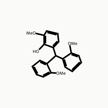 COc1ccccc1C(c1ccccc1OC)c1cccc(OC)c1O